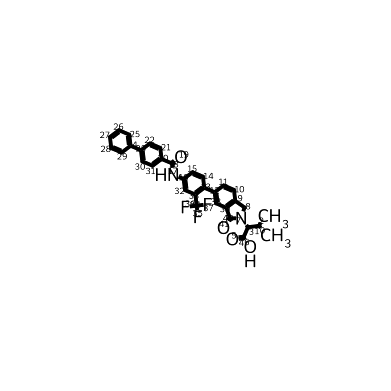 CC(C)C(C(=O)O)N1Cc2ccc(-c3ccc(NC(=O)c4ccc(-c5ccccc5)cc4)cc3C(F)(F)F)cc2C1=O